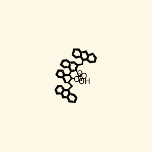 O=P1(O)Oc2c(Cc3c4ccccc4cc4ccccc34)cc3ccccc3c2C2=c3ccccc3=CC(Cc3c4ccccc4cc4ccccc34)C2O1